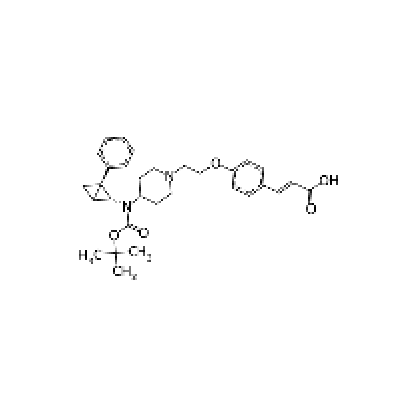 CC(C)(C)OC(=O)N(C1CCN(CCOc2ccc(/C=C/C(=O)O)cc2)CC1)[C@@H]1C2C[C@@]21c1ccccc1